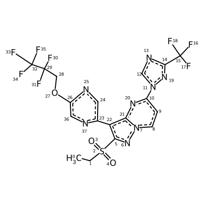 CCS(=O)(=O)c1nn2ccc(-n3cnc(C(F)(F)F)n3)nc2c1-c1cnc(OCC(F)(F)C(F)(F)F)cn1